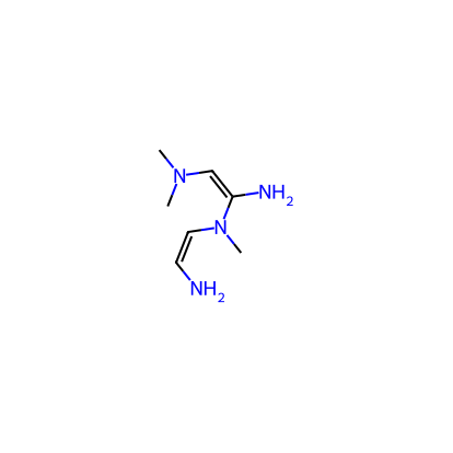 CN(C)/C=C(/N)N(C)/C=C\N